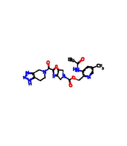 CC(C)(C)C(=O)Nc1cc(C(F)(F)F)cnc1COC(=O)N1Cc2nc(C(=O)N3CCc4[nH]nnc4C3)oc2C1